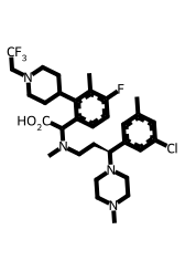 Cc1cc(Cl)cc([C@H](CCN(C)C(C(=O)O)c2ccc(F)c(C)c2C2CCN(CC(F)(F)F)CC2)N2CCN(C)CC2)c1